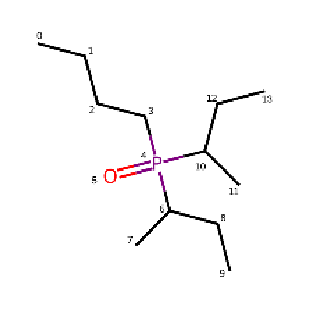 CCCCP(=O)(C(C)CC)C(C)CC